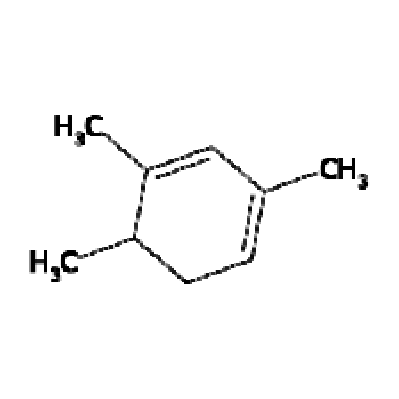 CC1=CCC(C)C(C)=C1